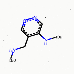 CC(C)(C)NCc1cnncc1NC(C)(C)C